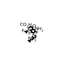 Nc1c(F)c(N2CCC(CC3(N)CC3)C2)c(F)c2c1c(=O)c(C(=O)O)cn2[C@@H]1C[C@@H]1F